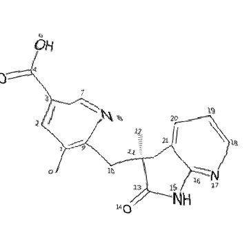 Cc1cc(C(=O)O)cnc1C[C@]1(C)C(=O)Nc2ncccc21